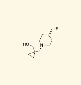 OCC1(CN2CCC(=CF)CC2)CC1